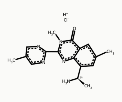 Cc1cnc(-c2nc3c([C@@H](C)N)cc(C)cc3c(=O)n2C)nc1.[Cl-].[H+]